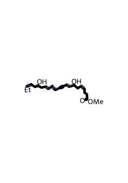 CC/C=C\C[C@H](O)C/C=C/C=C/C#C/C=C/[C@@H](O)C/C=C\CCC(=O)OC